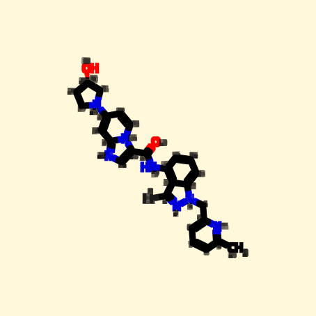 CCc1nn(Cc2cccc(C)n2)c2cccc(NC(=O)c3cnc4cc(N5CC[C@H](O)C5)ccn34)c12